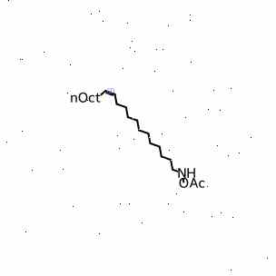 CCCCCCCC/C=C\CCCCCCCCCCCNOC(C)=O